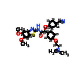 COc1cc2nc(NC(=O)C(Oc3ccc(C#N)cc3)c3ccc(OCCN(C)C)cc3)sc2cc1OC